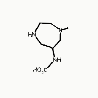 CN1CCNCC(NC(=O)O)C1